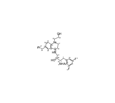 CC(=O)N[C@@H](Cc1cc(F)cc(F)c1)[C@H](O)CN[C@H]1CCN(CCO)c2ccc(CC(C)C)cc21